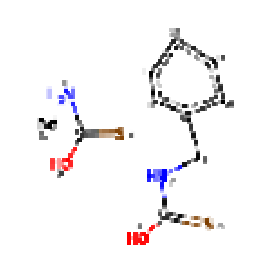 NC(O)=S.OC(=S)NCc1ccccc1.[Nd]